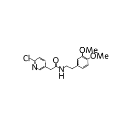 COc1ccc(CCNC(=O)Cc2ccc(Cl)nc2)cc1OC